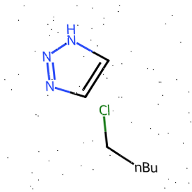 CCCCCCl.c1c[nH]nn1